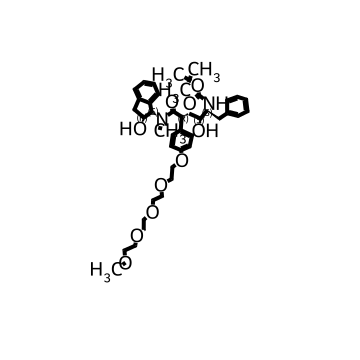 COCCOCCOCCOCCOc1ccc([C@@H](C[C@H](O)[C@H](Cc2ccccc2)NC(=O)OC(C)(C)C)C(=O)N(C)[C@H]2c3ccccc3C[C@H]2O)cc1